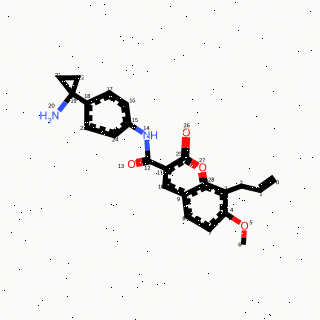 C=CCc1c(OC)ccc2cc(C(=O)Nc3ccc(C4(N)CC4)cc3)c(=O)oc12